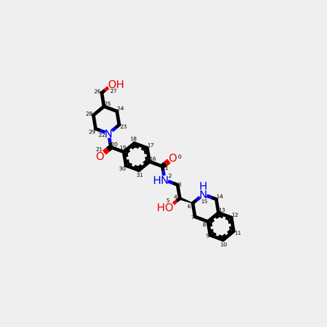 O=C(NCC(O)[C@@H]1Cc2ccccc2CN1)c1ccc(C(=O)N2CCC(CO)CC2)cc1